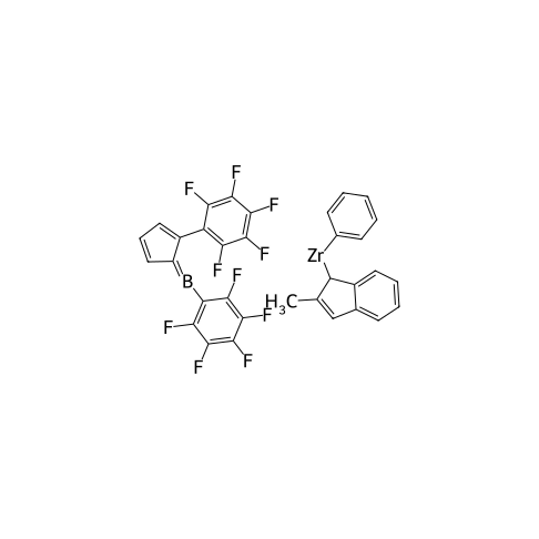 CC1=Cc2ccccc2[CH]1[Zr][c]1ccccc1.Fc1c(F)c(F)c(B=C2C=CC=C2c2c(F)c(F)c(F)c(F)c2F)c(F)c1F